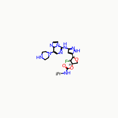 CC(C)NC(=O)O[C@@H]1CO[C@H](c2cc(Nc3ncc(N4CCNCC4)c4nccn34)n[nH]2)[C@@H]1F